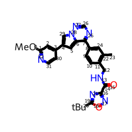 COc1cc(-c2cc3c(-c4ccc(CNC(=O)c5noc(C(C)(C)C)n5)c(C)c4)ncnn3c2)ccn1